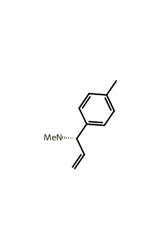 C=C[C@H](NC)c1ccc(C)cc1